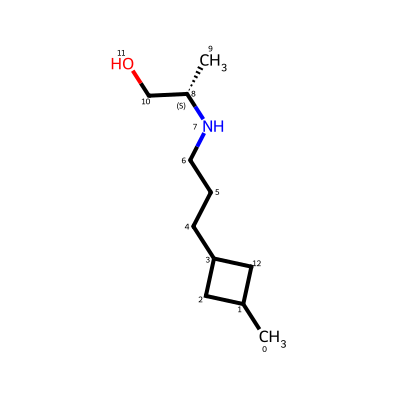 CC1CC(CCCN[C@@H](C)CO)C1